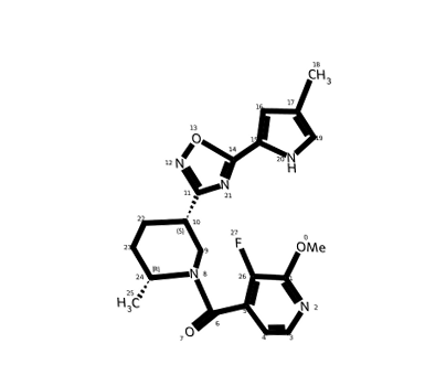 COc1nccc(C(=O)N2C[C@@H](c3noc(-c4cc(C)c[nH]4)n3)CC[C@H]2C)c1F